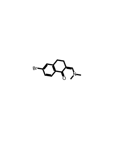 CN(C)C=C1CCc2cc(Br)ccc2C1=O